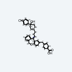 O=C(O)c1ccc(Cc2ccc3c(c2)/C(=C/CCN2CCC(O)(c4ccc(Cl)cc4)CC2)c2cccnc2CO3)cc1